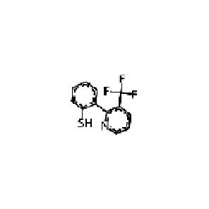 FC(F)(F)c1cccnc1-c1ccccc1S